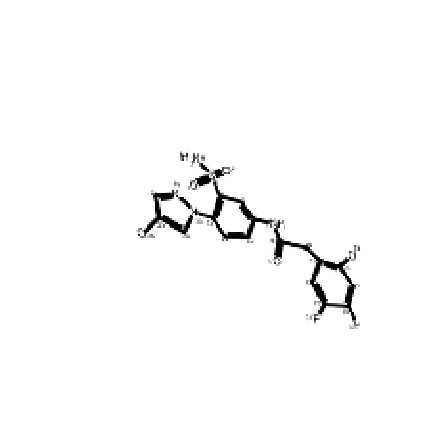 NS(=O)(=O)c1cc(NC(=O)Cc2cc(F)c(F)cc2Cl)ccc1-n1cc(Cl)cn1